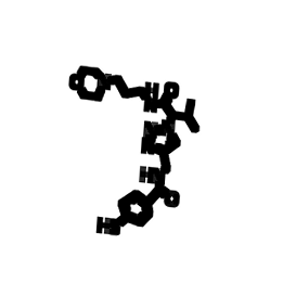 CC(C)C(C(=O)NCCCN1CCOCC1)n1cc(CNC(=O)c2ccc(S)cc2)nn1